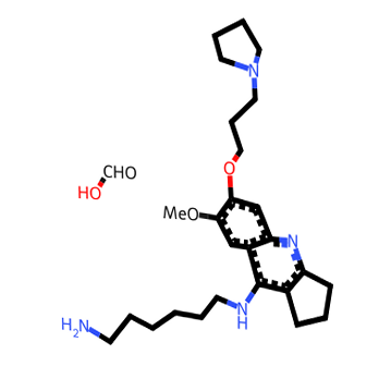 COc1cc2c(NCCCCCCN)c3c(nc2cc1OCCCN1CCCC1)CCC3.O=CO